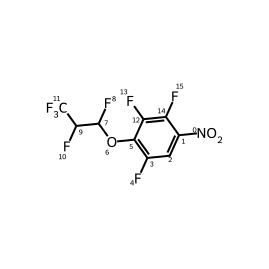 O=[N+]([O-])c1cc(F)c(OC(F)C(F)C(F)(F)F)c(F)c1F